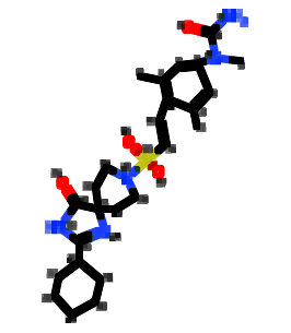 Cc1cc(N(C)C(N)=O)cc(C)c1/C=C/S(=O)(=O)N1CCC2(CC1)N=C(C1CCCCC1)NC2=O